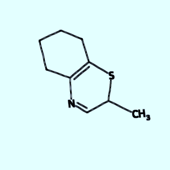 CC1C=NC2=C(CCCC2)S1